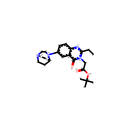 CCc1nc2ccc(N3CCN4CCC3CC4)cc2c(=O)n1CC(=O)OC(C)(C)C